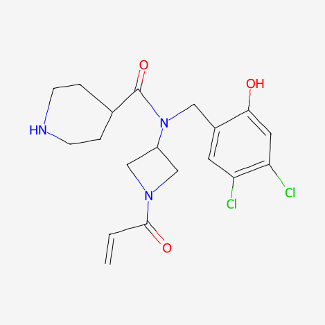 C=CC(=O)N1CC(N(Cc2cc(Cl)c(Cl)cc2O)C(=O)C2CCNCC2)C1